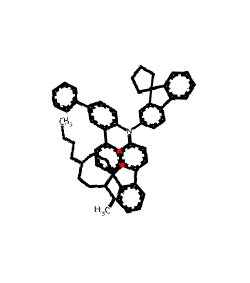 CCCCC1CCC(CC)C2(CC1)c1ccccc1-c1ccc(N(c3ccc4c(c3)C3(CCCC3)c3ccccc3-4)c3ccc(-c4ccccc4)cc3-c3ccccc3)cc12